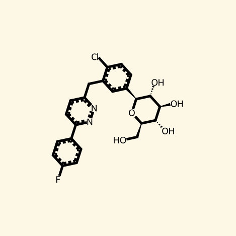 OC[C@H]1O[C@@H](c2ccc(Cl)c(Cc3ccc(-c4ccc(F)cc4)nn3)c2)[C@H](O)[C@@H](O)[C@@H]1O